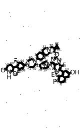 CCc1c(F)ccc2cc(O)cc(-c3ncc4c(N5CC6CCC(C5)N6)nc(OCC5(CN6CCC7(CCC(N8CCCN(c9cc(F)c(C%10CCC(=O)NC%10=O)c(F)c9)CC8)CC7)CC6)CC5)nc4c3F)c12